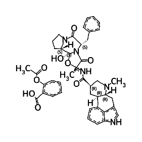 CC(=O)Oc1ccccc1C(=O)O.CN1C[C@H](C(=O)N[C@]2(C)O[C@@]3(O)[C@@H]4CCCN4C(=O)[C@H](Cc4ccccc4)N3C2=O)C[C@@H]2c3cccc4[nH]cc(c34)C[C@H]21